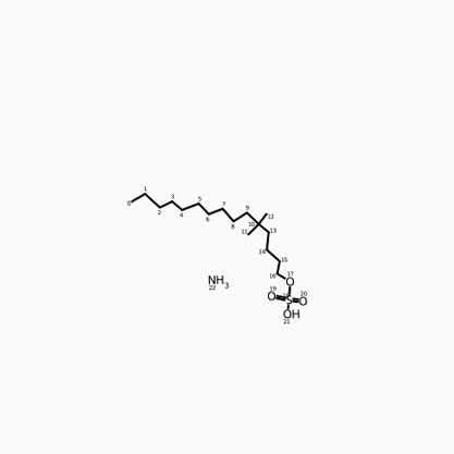 CCCCCCCCCCC(C)(C)CCCCOS(=O)(=O)O.N